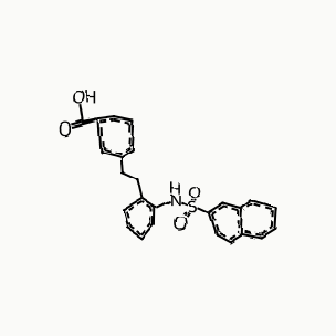 O=C(O)c1cccc(CCc2ccccc2NS(=O)(=O)c2ccc3ccccc3c2)c1